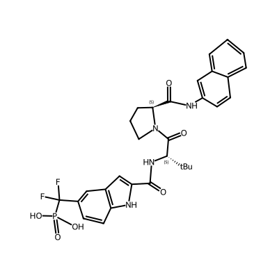 CC(C)(C)[C@H](NC(=O)c1cc2cc(C(F)(F)P(=O)(O)O)ccc2[nH]1)C(=O)N1CCC[C@H]1C(=O)Nc1ccc2ccccc2c1